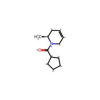 C[C@H]1C[C]=CCN1C(=O)C1CCCC1